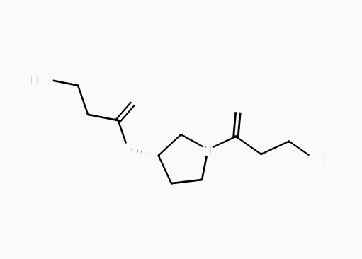 CCCC(=O)O[C@H]1CCN(C(=O)CCC)C1